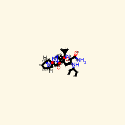 CCC(CC)Nc1cc(C(=O)N[C@H]2C[C@H]3CC[C@@H](C2)N3c2ccc(C(=O)C3CC3)cn2)c(C)nc1C(N)=O